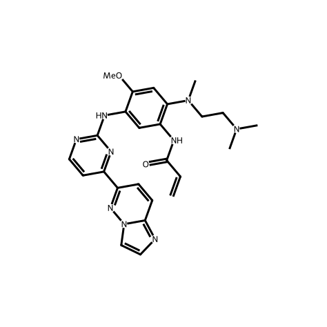 C=CC(=O)Nc1cc(Nc2nccc(-c3ccc4nccn4n3)n2)c(OC)cc1N(C)CCN(C)C